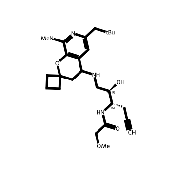 C#CC[C@H](NC(=O)COC)[C@H](O)CNC1CC2(CCC2)Oc2c1cc(CC(C)(C)C)nc2NC